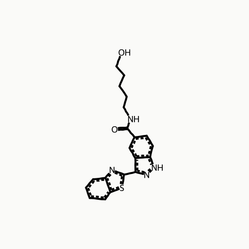 O=C(NCCCCCO)c1ccc2[nH]nc(-c3nc4ccccc4s3)c2c1